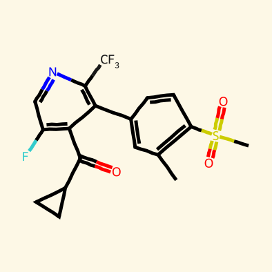 Cc1cc(-c2c(C(F)(F)F)ncc(F)c2C(=O)C2CC2)ccc1S(C)(=O)=O